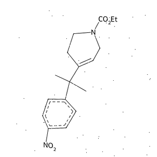 CCOC(=O)N1CC=C(C(C)(C)c2ccc([N+](=O)[O-])cc2)CC1